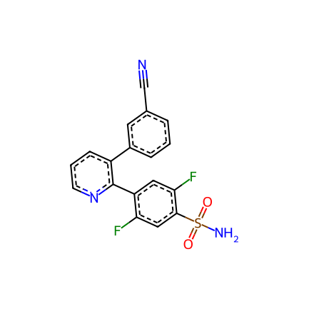 N#Cc1cccc(-c2cccnc2-c2cc(F)c(S(N)(=O)=O)cc2F)c1